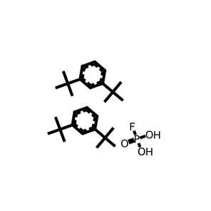 CC(C)(C)c1cccc(C(C)(C)C)c1.CC(C)(C)c1cccc(C(C)(C)C)c1.O=P(O)(O)F